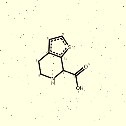 O=C(O)C1NCCc2ccsc21